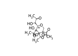 CC(=O)C(O)[C@H]1OC[C@@](O)(C(C)=O)[C@](O)(C(C)=O)[C@@]1(O)C(C)=O